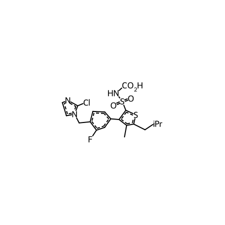 Cc1c(CC(C)C)sc(S(=O)(=O)NC(=O)O)c1-c1ccc(Cn2ccnc2Cl)c(F)c1